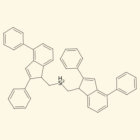 C1=C(c2ccccc2)C(C[SiH2]CC2C(c3ccccc3)=Cc3c(-c4ccccc4)cccc32)c2cccc(-c3ccccc3)c21